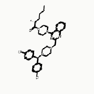 CCCC[C@@H](C)C(=O)N1CCN(c2nc(CN3CCN(C(c4ccc(Cl)cc4)c4ccc(Cl)cc4)CC3)nc3ccccc23)CC1